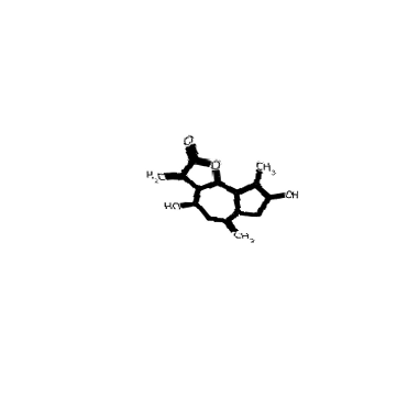 C=C1CC(O)C2C(=C)C(=O)OC2C2C1CC(O)C2C